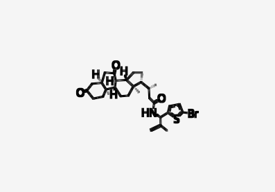 C=C(C)[C@@H](NC(=O)C[C@@H](C)[C@H]1CC[C@H]2[C@@H]3C(=O)C[C@@H]4CC(=O)CC[C@]4(C)[C@H]3CC[C@]12C)c1ccc(Br)s1